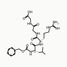 CC(C)C[C@H](NC(=O)OCc1ccccc1)C(=O)N[C@@H](CCCNC(=N)N)C(=O)NCC(=O)NCC(=O)O